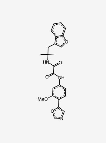 COc1cc(NC(=O)C(=O)NC(C)(C)Cc2coc3ccccc23)ccc1-c1cnco1